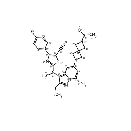 CCc1nn2c(C)cc(N3CC4(C3)CN([S+](C)[O-])C4)cc2c1N(C)c1nc(-c2ccc(F)cc2)c(C#N)s1